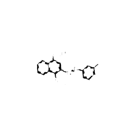 Nc1c(N=Nc2cccc(I)c2)cc(S(=O)(=O)O)c2ccccc12